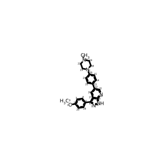 COc1ccc(-c2n[nH]c3ncc(-c4ccc(N5CCN(C)CC5)cc4)cc23)cc1